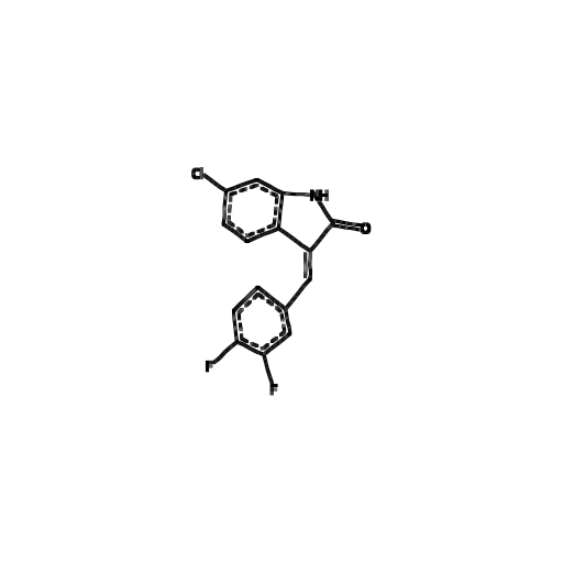 O=C1Nc2cc(Cl)ccc2/C1=C\c1ccc(F)c(F)c1